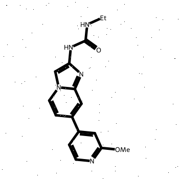 CCNC(=O)Nc1cn2ccc(-c3ccnc(OC)c3)cc2n1